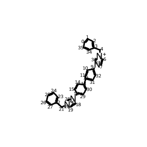 c1ccc(C[n+]2ccn(-c3ccc(-c4ccc(-n5cc[n+](Cc6ccccc6)c5)cc4)cc3)c2)cc1